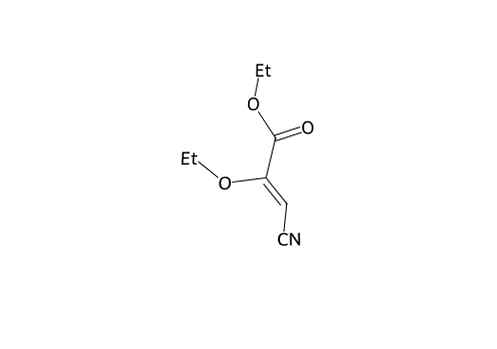 CCOC(=O)/C(=C/C#N)OCC